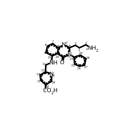 NCCCc1nc2cccc(NCc3ccc(C(=O)O)cn3)c2c(=O)n1-c1ccccc1